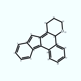 C1=c2ccccc2=C2C1=C1CCCOC1c1ccccc12